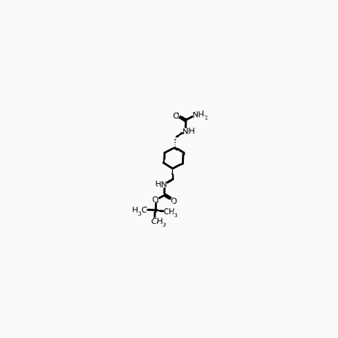 CC(C)(C)OC(=O)NC[C@H]1CC[C@H](CNC(N)=O)CC1